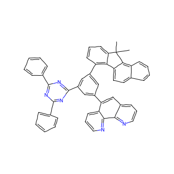 CC1(C)c2cccc(-c3cc(-c4nc(-c5ccccc5)nc(-c5ccccc5)n4)cc(-c4cc5cccnc5c5ncccc45)c3)c2-c2ccc3ccccc3c21